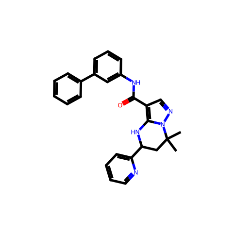 CC1(C)CC(c2ccccn2)Nc2c(C(=O)Nc3cccc(-c4ccccc4)c3)cnn21